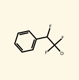 [O]C(F)(F)C(F)c1ccccc1